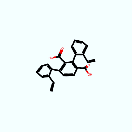 C=Cc1ccccc1-c1ccc(C(=O)O)c(-c2ccccc2C=C)c1C(=O)O